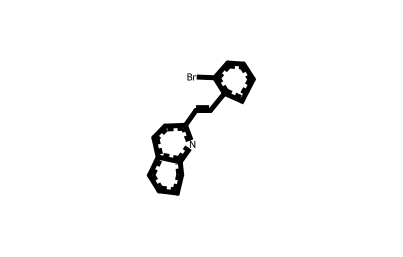 Brc1ccccc1C=Cc1ccc2ccccc2n1